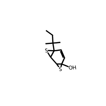 CCC(C)(C)C12C=CC3(O)SC3C1S2